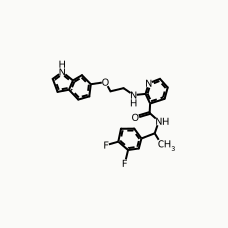 CC(NC(=O)c1cccnc1NCCOc1ccc2cc[nH]c2c1)c1ccc(F)c(F)c1